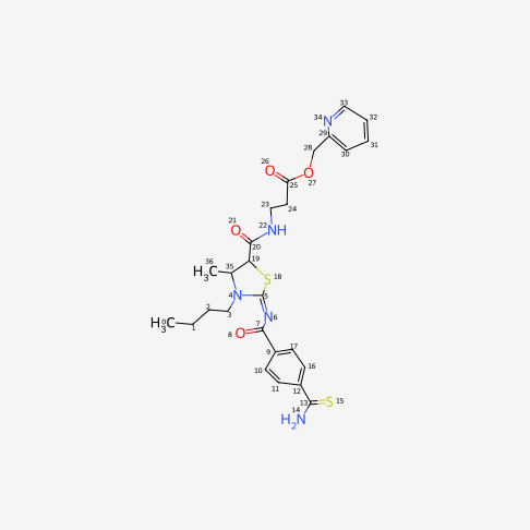 CCCCN1C(=NC(=O)c2ccc(C(N)=S)cc2)SC(C(=O)NCCC(=O)OCc2ccccn2)C1C